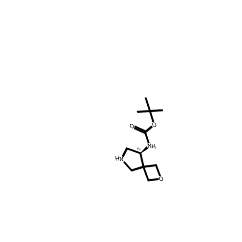 CC(C)(C)OC(=O)N[C@@H]1CNCC12COC2